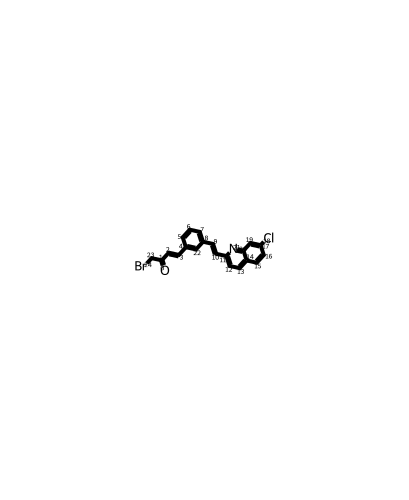 O=C(C=Cc1cccc(C=Cc2ccc3ccc(Cl)cc3n2)c1)CBr